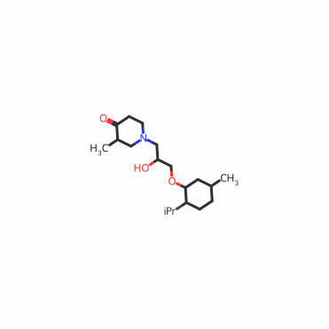 CC1CCC(C(C)C)C(OCC(O)CN2CCC(=O)C(C)C2)C1